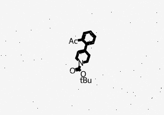 CC(=O)c1ccccc1C1=CCN(C(=O)OC(C)(C)C)CC1